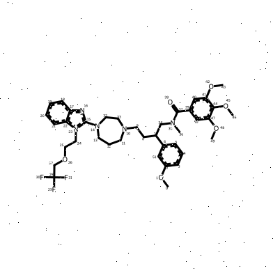 COc1cccc(C(CCN2CCCN(c3nc4ccccc4n3CCOCC(F)(F)F)CC2)CN(C)C(=O)c2cc(OC)c(OC)c(OC)c2)c1